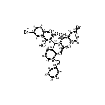 O=c1oc2ccc(Br)cc2c(O)c1C(c1cccc(Oc2ccccc2)c1)c1c(O)c2cc(Br)ccc2oc1=O